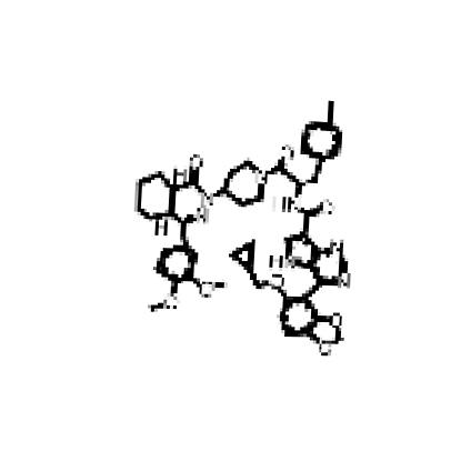 COc1ccc(C2=NN(C3CCN(C(=O)[C@@H](Cc4ccc(C)cc4)NC(=O)c4c[nH]c5c(-c6c(OCC7CC7)ccc7c6OCO7)ncnc45)CC3)C(=O)[C@@H]3CCCC[C@H]23)cc1OC